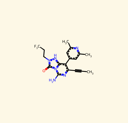 CC#Cc1nc(N)[n+]2c(=O)n(CCC(F)(F)F)[nH]c2c1-c1cc(C)nc(C)c1